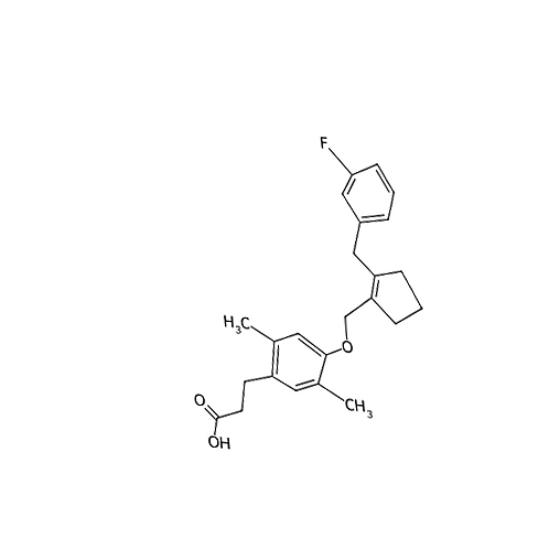 Cc1cc(OCC2=C(Cc3cccc(F)c3)CCC2)c(C)cc1CCC(=O)O